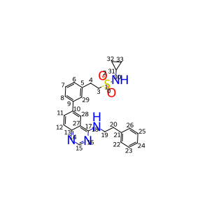 O=S(=O)(CCc1cccc(-c2ccc3ncnc(NCCc4ccccc4)c3c2)c1)NC1CC1